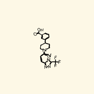 O=C(O)c1cccc(C2CCN(c3ccc4nnc(C(F)(F)F)n4n3)CC2)c1